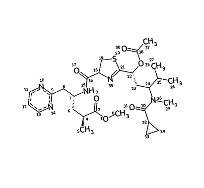 COC(=O)[C@@H](C)C[C@H](Cc1ncccn1)NC(=O)C1CSC([C@@H](CC(C(C)C)N(C)C(=O)C2CC2)OC(C)=O)=N1